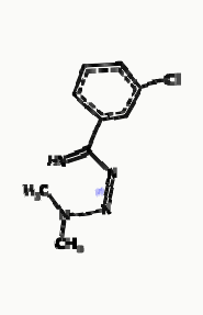 CN(C)/N=N\C(=N)c1cccc(Cl)c1